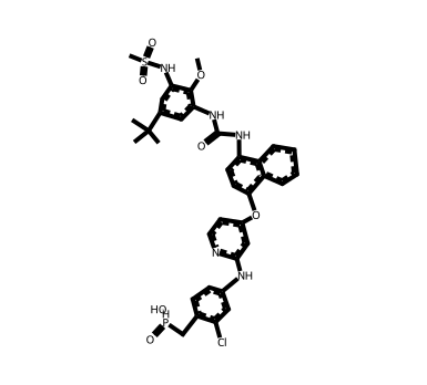 COc1c(NC(=O)Nc2ccc(Oc3ccnc(Nc4ccc(C[PH](=O)O)c(Cl)c4)c3)c3ccccc23)cc(C(C)(C)C)cc1NS(C)(=O)=O